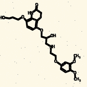 COc1ccc(OCCNCC(O)COc2ccc(OCCCO)c3c2CCC(=O)N3)cc1OC